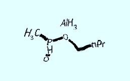 CCCCO[PH](C)=O.[AlH3]